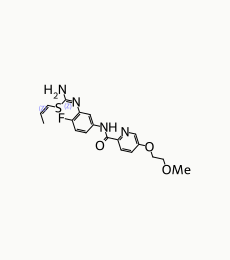 C/C=C\S/C(N)=N\c1cc(NC(=O)c2ccc(OCCOC)cn2)ccc1F